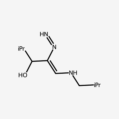 CC(C)CN/C=C(\N=N)C(O)C(C)C